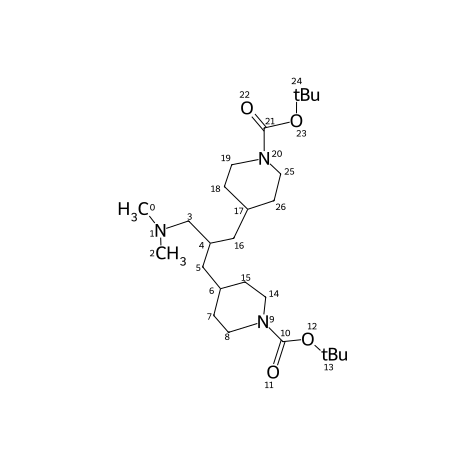 CN(C)CC(CC1CCN(C(=O)OC(C)(C)C)CC1)CC1CCN(C(=O)OC(C)(C)C)CC1